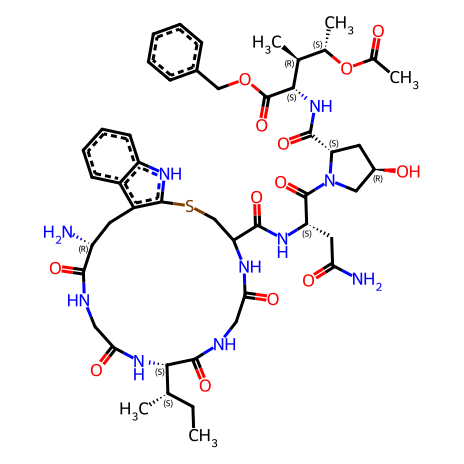 CC[C@H](C)[C@@H]1NC(=O)CNC(=O)[C@H](N)Cc2c([nH]c3ccccc23)SCC(C(=O)N[C@@H](CC(N)=O)C(=O)N2C[C@H](O)C[C@H]2C(=O)N[C@H](C(=O)OCc2ccccc2)[C@@H](C)[C@H](C)OC(C)=O)NC(=O)CNC1=O